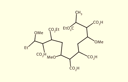 CCOC(=O)C(C)C(C(=O)O)C(CC(C(=O)O)C(C(=O)O)C(CC(C(=O)OCC)C(C(=O)O)C(CC)OC)OC)OC